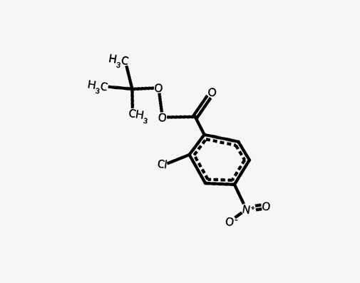 CC(C)(C)OOC(=O)c1ccc([N+](=O)[O-])cc1Cl